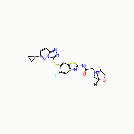 O=C(CN1C[C@@H]2C[C@H]1CO2)Nc1nc2cc(F)c(Sc3nnc4ccc(C5CC5)nn34)cc2s1